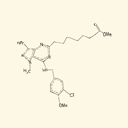 CCCc1nn(C)c2c(NCc3ccc(OC)c(Cl)c3)nc(CCCCCCC(=O)OC)nc12